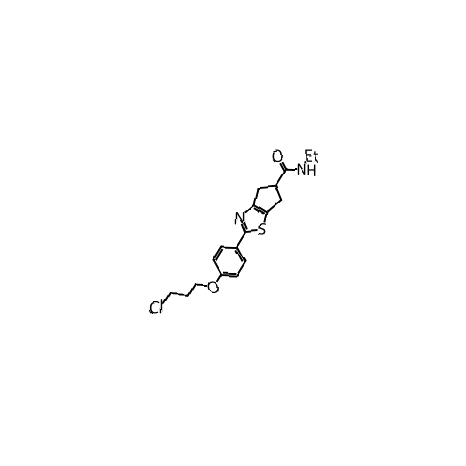 CCNC(=O)C1Cc2nc(-c3ccc(OCCCCl)cc3)sc2C1